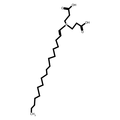 CCCCCCCCCCCCCCCCC=CN(CCC(=O)O)CCC(=O)O